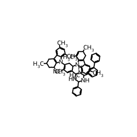 CC1=CC(C)Cc2c1n(C1CC(n3c4c(c5cc(C)cc(C)c53)CC(C)CC4C)=C(C#N)C=C1C1NC(c3ccccc3)NC(c3cccc(-c4ccccc4)c3)N1)c1c(C)cc(C)cc21